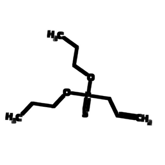 C=CCP(=S)(OCCC)OCCC